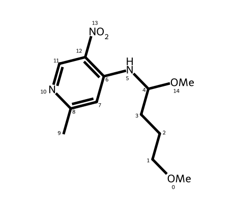 COCCCC(Nc1cc(C)ncc1[N+](=O)[O-])OC